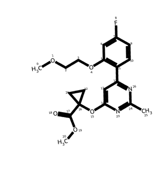 COCCOc1cc(F)ccc1-c1cc(OC2(C(=O)OC)CC2)nc(C)n1